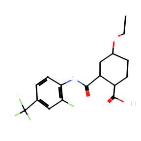 CCOC1CCC(C(=O)O)C(C(=O)Nc2ccc(C(F)(F)F)cc2F)C1